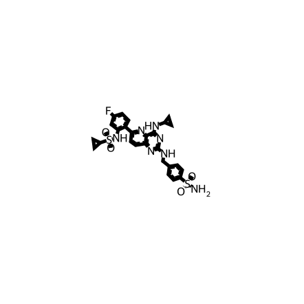 NS(=O)(=O)c1ccc(CNc2nc(NC3CC3)c3nc(-c4ccc(F)cc4NS(=O)(=O)C4CC4)ccc3n2)cc1